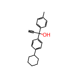 C#CC(O)(c1ccc(C)cc1)c1ccc(C2CCCCC2)cc1